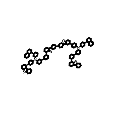 c1cc(-c2cccc(N(c3ccc(-c4ccc5oc6cc(-c7ccc8c(c7)sc7c(-c9cccc(-c%10cccc(N(c%11ccc(-c%12cccc%13sc%14ccccc%14c%12%13)cc%11)c%11cccc(-c%12cccc%13ccccc%12%13)c%11)c%10)c9)cccc78)ccc6c5c4)cc3)c3ccc(-c4cccc5ccccc45)cc3)c2)cc(-c2cccc3c2sc2ccccc23)c1